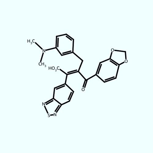 CN(C)c1cccc(C/C(C(=O)c2ccc3c(c2)OCO3)=C(\C(=O)O)c2ccc3nsnc3c2)c1